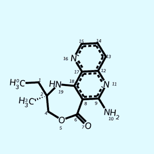 CC[C@]1(C)COC(=O)c2c(N)nc3cccnc3c2N1